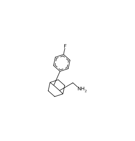 NCC1C2CCC(CC2)C1c1ccc(F)cc1